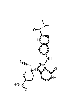 CN(C)C(=O)c1ccc2cc(Nc3nn(C4(CC#N)CCC(C(=O)O)OC4)c4cc[nH]c(=O)c34)ccc2n1